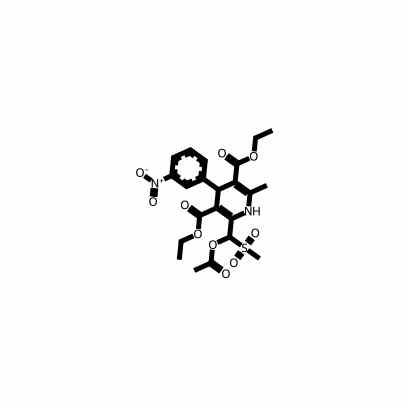 CCOC(=O)C1=C(C)NC(C(OC(C)=O)S(C)(=O)=O)=C(C(=O)OCC)C1c1cccc([N+](=O)[O-])c1